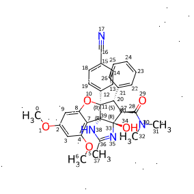 COc1cc(OC)c2c(c1)O[C@@]1(c3ccc(C#N)cc3)[C@H](c3ccccc3)[C@@H](C(=O)N(C)C)[C@]3(O)N=C(C)N[C@@]231